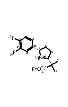 CCOC(=O)C(C)(C)[C@H]1CC[C@@H](c2ccc(F)c(F)c2)N1